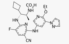 CCOc1ncc(Nc2nc(N[C@H](C3CCC3)[C@H](C)NC(=O)O)c(F)cc2C#N)cc1-n1cccn1